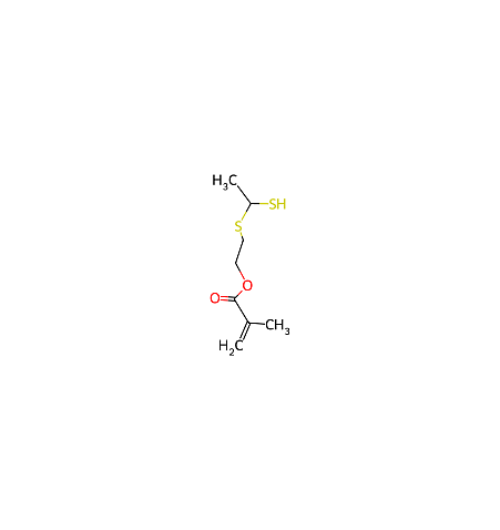 C=C(C)C(=O)OCCSC(C)S